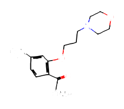 COC(=O)c1ccc([N+](=O)[O-])cc1OCCCN1CCOCC1